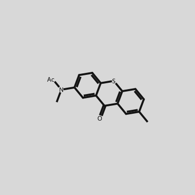 CC(=O)N(C)c1ccc2sc3ccc(C)cc3c(=O)c2c1